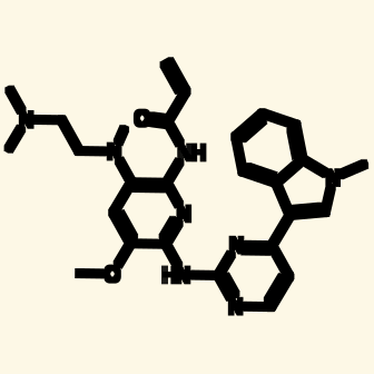 C=CC(=O)Nc1nc(Nc2nccc(-c3cn(C)c4ccccc34)n2)c(OC)cc1N(C)CCN(C)C